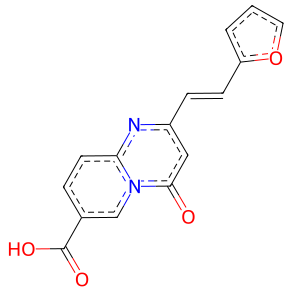 O=C(O)c1ccc2nc(C=Cc3ccco3)cc(=O)n2c1